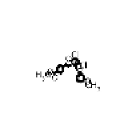 COC(=O)c1ccc(CCn2c(COc3cccc(OC)c3)c(Cl)cc(Cl)c2=O)cc1